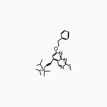 CSc1ncc2c(C#C[Si](C(C)C)(C(C)C)C(C)C)cc(OCCc3ccccc3)nc2n1